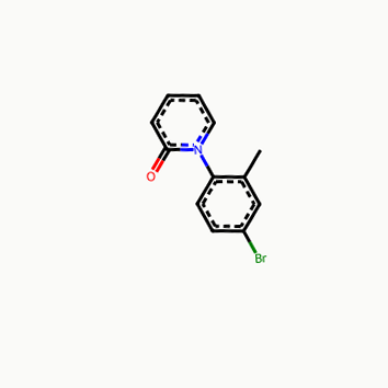 Cc1cc(Br)ccc1-n1ccccc1=O